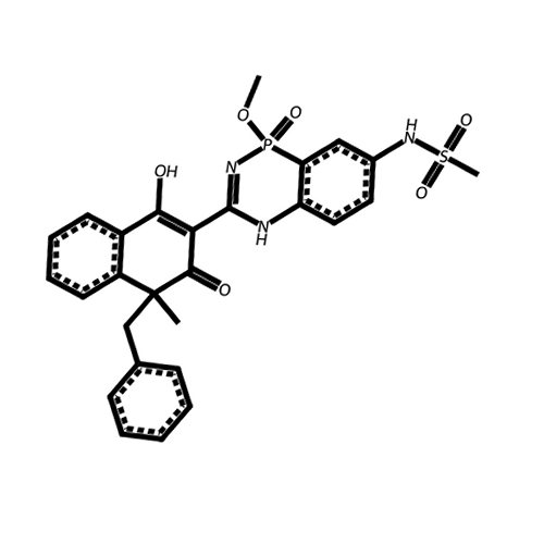 COP1(=O)N=C(C2=C(O)c3ccccc3C(C)(Cc3ccccc3)C2=O)Nc2ccc(NS(C)(=O)=O)cc21